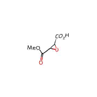 COC(=O)C1OC1C(=O)O